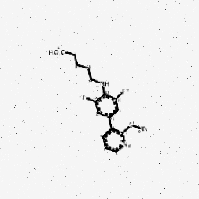 CC(C)Sc1ncccc1-c1cc(F)c(NCCCCC(=O)O)c(F)c1